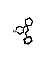 c1ccc(CCC2(N3CCNCC3)CCCCC2)cc1